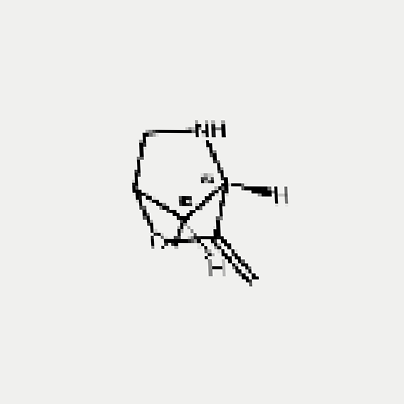 C=C1OC2CN[C@H]1[C@H]2C